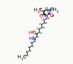 CCCCCCCCNCC(O)CCCCCCCn1c(=O)c(C)cn(C)c1=O